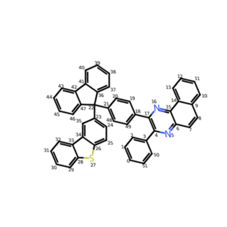 c1ccc(-c2nc3ccc4ccccc4c3nc2-c2ccc(C3(c4ccc5sc6ccccc6c5c4)c4ccccc4-c4ccccc43)cc2)cc1